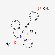 COc1ccc(C#CC2(OC)c3ccccc3CC(OC)N2c2ccccc2)cc1